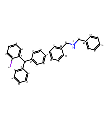 Ic1ccccc1C(c1ccccc1)c1ccccc1.c1ccc(CNCc2ccccc2)cc1